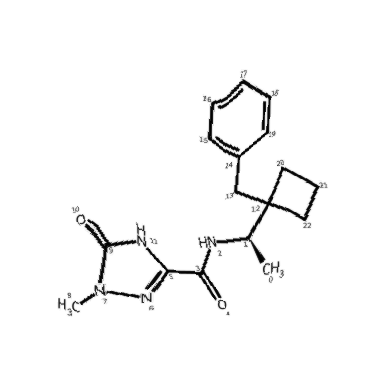 C[C@@H](NC(=O)c1nn(C)c(=O)[nH]1)C1(Cc2ccccc2)CCC1